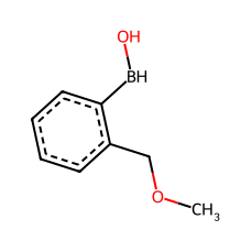 COCc1ccccc1BO